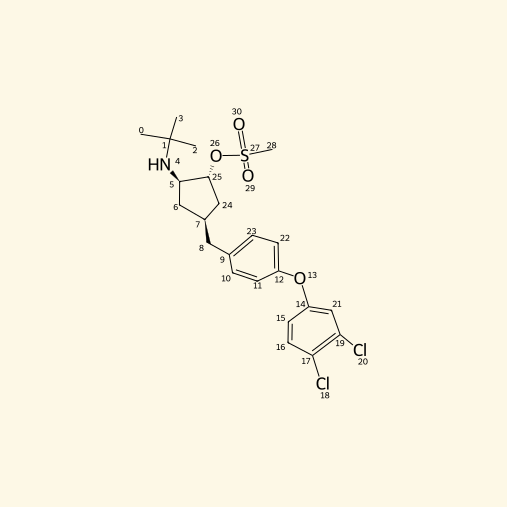 CC(C)(C)N[C@@H]1C[C@H](Cc2ccc(Oc3ccc(Cl)c(Cl)c3)cc2)C[C@H]1OS(C)(=O)=O